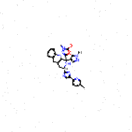 CCn1cc(C2(c3nn(C)c(=O)o3)N[C@@H](c3nc(-c4ccc(C)cn4)c[nH]3)CC3=C2Nc2ccccc2C3)cn1